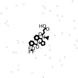 O=C(O)CCC(=O)N(C1CC1)C1c2ccccc2N(C(=O)c2ccccc2OC(F)(F)F)C2CCCC21